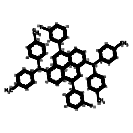 Cc1ccc(N(c2ccc(C)cc2)c2ccc3c(-c4cccc(F)c4)cc4c(N(c5ccc(C)cc5)c5ccc(C)cc5)ccc5c(-c6cccc(F)c6)cc2c3c54)cc1